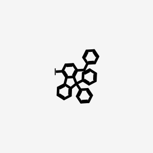 Ic1ccc(Cc2ccccc2)c2c1-c1ccccc1C2(c1ccccc1)c1ccccc1